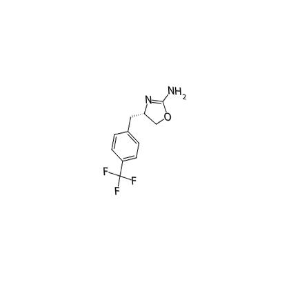 NC1=N[C@@H](Cc2ccc(C(F)(F)F)cc2)CO1